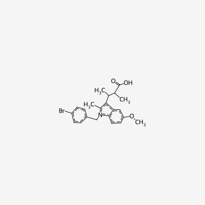 COc1ccc2c(c1)c(C(C)C(C)C(=O)O)c(C)n2Cc1ccc(Br)cc1